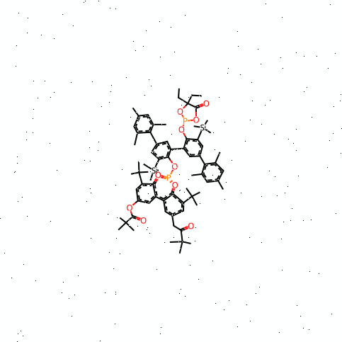 CCC1(CC)OP(Oc2c(-c3cc(-c4c(C)cc(C)cc4C)cc([Si](C)(C)C)c3Op3oc4c(C(C)(C)C)cc(CC(=O)C(C)(C)C)cc4c4cc(OC(=O)C(C)(C)C)cc(C(C)(C)C)c4o3)cc(-c3c(C)cc(C)cc3C)cc2[Si](C)(C)C)OC1=O